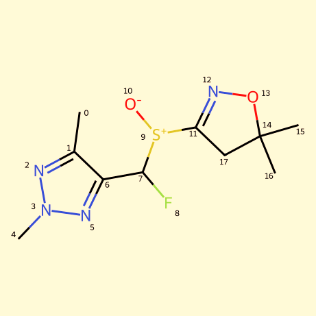 Cc1nn(C)nc1C(F)[S+]([O-])C1=NOC(C)(C)C1